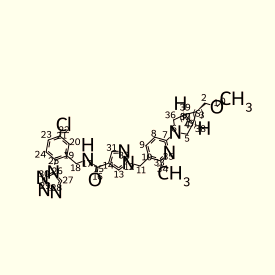 COC[C@H]1[C@H]2CN(c3ccc(Cn4cc(C(=O)NCc5cc(Cl)ccc5-n5cnnn5)cn4)c(C)n3)C[C@@H]12